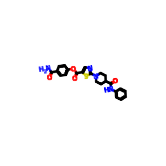 NC(=O)c1ccc(OC(=O)c2cnc(N3CCC(C(=O)Nc4ccccc4)CC3)s2)cc1